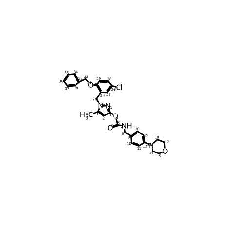 Cc1cc(OC(=O)NCc2ccc(N3CCOCC3)cc2)nn1Cc1cc(Cl)ccc1OCc1ccccc1